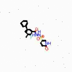 Cc1cc(-c2ccccc2)cc(C(=O)NNS(=O)(=O)c2ccc(=O)[nH]c2)c1F